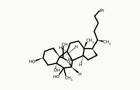 CC(C)CCC[C@@H](C)[C@H]1CC[C@H]2[C@@H]3[C@H]4O[C@H](C)[C@@]5(CC[C@H](O)C[C@]5(O)C4(C)O)[C@H]3CC[C@]12C